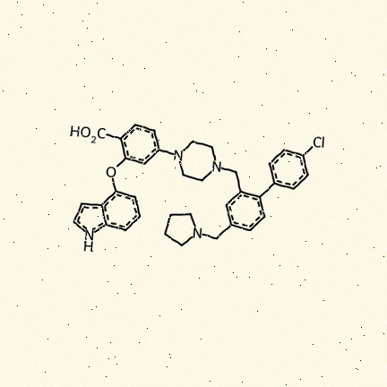 O=C(O)c1ccc(N2CCN(Cc3cc(CN4CCCC4)ccc3-c3ccc(Cl)cc3)CC2)cc1Oc1cccc2[nH]ccc12